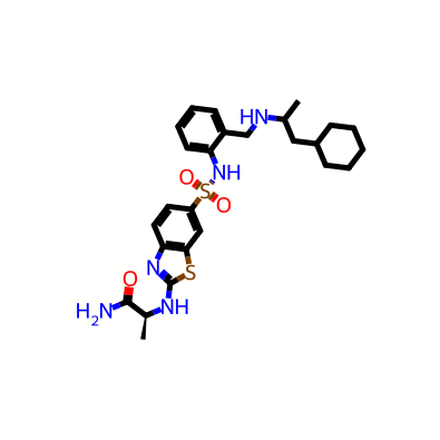 CC(CC1CCCCC1)NCc1ccccc1NS(=O)(=O)c1ccc2nc(N[C@@H](C)C(N)=O)sc2c1